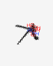 CCCCCCCCCCCCCCCCCC(=O)N(CCCCCCCCCCCCCC)[C@@H]1O[C@H](CO)[C@H](O)[C@H](O)[C@H]1NC(=O)CNC(=O)OCc1ccccc1